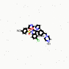 CCN1CCN(Cc2ccc(C3(N4CCC[C@H]4c4ncco4)C(=O)N(S(=O)(=O)c4ccc(C#N)cc4)c4ccc(Cl)cc43)c(OC)c2)CC1